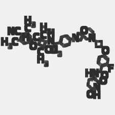 Cc1cc(O[C@H]2C(C)(C)[C@H](NC(=O)c3ccc(N4CC5(C4)CN([C@H]4C[C@H](Oc6ccc(C(=O)N[C@H]7CCC(=O)NC7=O)c(F)c6)C4)CCO5)cc3)C2(C)C)cc(C)c1C#N